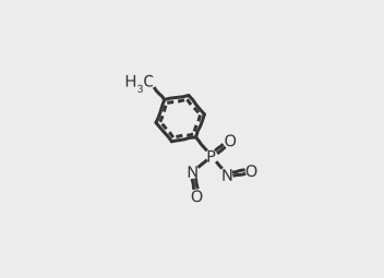 Cc1ccc(P(=O)(N=O)N=O)cc1